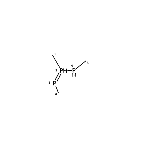 CP=[PH](C)PC